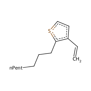 C=Cc1ccsc1CCCCCCCC